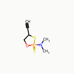 C#CC1COP(=S)(N(C)C)S1